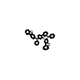 c1ccc(N(c2ccc3c(c2)oc2ccccc23)c2ccc3c(c2)sc2c(N(c4ccccc4)c4ccc5c(c4)oc4ccccc45)cccc23)cc1